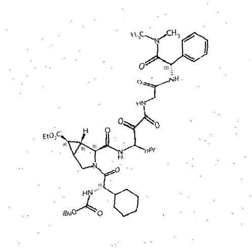 CCCC(NC(=O)[C@@H]1[C@@H]2C(CN1C(=O)[C@@H](NC(=O)OCC(C)C)C1CCCCC1)[C@H]2C(=O)OCC)C(=O)C(=O)NCC(=O)N[C@H](C(=O)N(C)C)c1ccccc1